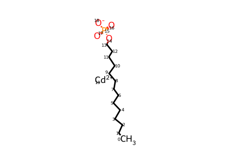 CCCCCCCCCCCCCCOP(=O)([O-])[O-].[Cd+2]